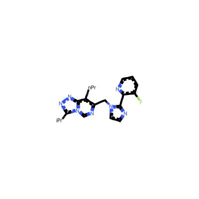 CCCc1c(Cn2ccnc2-c2ncccc2F)ncn2c(C(C)C)nnc12